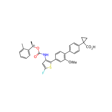 COc1cc(-c2sc(F)cc2NC(=O)O[C@H](C)c2ccccc2C)ccc1-c1ccc(C2(C(=O)O)CC2)cc1